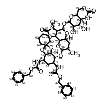 CC1C[C@@H]2OC(O[C@H]3OC4COC(=O)N[C@H]4[C@H](O)C3O)C3C(OC(=O)N3C)C2O[C@@H]1O[C@@H]1C(NC(=O)OCc2ccccc2)C[C@@H](NC(=O)OCc2ccccc2)C2OC3(CCCCC3)O[C@H]21